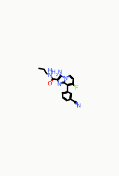 CCCNC(=O)c1nc2c(-c3cccc(C#N)c3)c(F)ccn2c1N